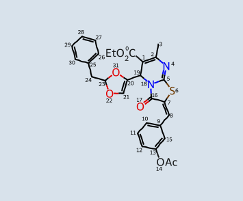 CCOC(=O)C1=C(C)N=c2sc(=Cc3cccc(OC(C)=O)c3)c(=O)n2C1C1=COC(Cc2ccccc2)O1